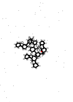 CC(C)(c1c(-c2cccc(C(F)(F)F)c2)c(-n2c3ccccc3c3c4oc5ccccc5c4ccc32)cc(-n2c3ccccc3c3c4oc5ccccc5c4ccc32)c1-c1cccc(C(F)(F)F)c1)n1c2ccccc2c2ccccc21